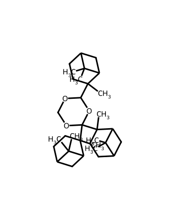 CC1(C)C2CCC(C)(C3OCOC(C4(C)CCC5CC4C5(C)C)(C4(C)CCC5CC4C5(C)C)O3)C1C2